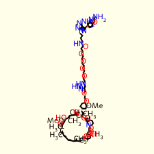 CO[C@@H]1C[C@H](C[C@@H](C)[C@@H]2CC(=O)[C@H](C)/C=C(\C)[C@@H](O)[C@@H](OC)C(=O)[C@H](C)C[C@H](C)/C=C/C=C/C=C(\C)CC[C@@H]3CC[C@@H](C)[C@@](O)(O3)C(=O)C(=O)N3CCCC[C@H]3C(=O)O2)CC[C@H]1OCCOC/C(=C/NCCOCCOCCOCCOCCC(=O)NCCCCn1nc(-c2ccc3oc(N)nc3c2)c2c(N)ncnc21)N=N